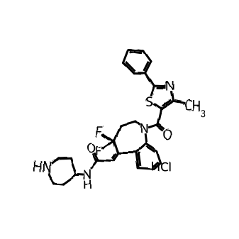 Cc1nc(-c2ccccc2)sc1C(=O)N1CCC(F)(F)C(=CC(=O)NC2CCNCC2)c2ccccc21.Cl